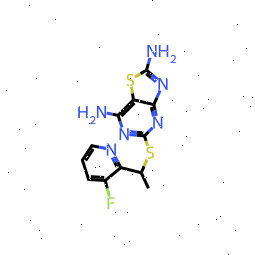 CC(Sc1nc(N)c2sc(N)nc2n1)c1ncccc1F